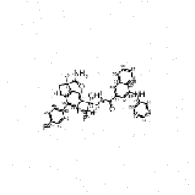 C[C@]1(C(N)=O)COc2c1cc([C@@](O)(CNC(=O)c1cc(Nc3cncnc3)c3ncccc3c1)C(F)(F)F)nc2-c1ccc(F)cc1